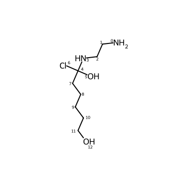 NCCNC(O)(Cl)CCCCCO